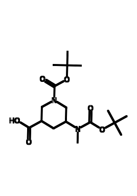 CN(C(=O)OC(C)(C)C)C1CC(C(=O)O)CN(C(=O)OC(C)(C)C)C1